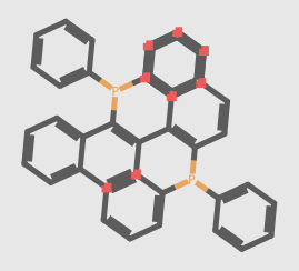 c1ccc(P(c2ccccc2)c2ccc3ccccc3c2-c2ccc3ccccc3c2P(c2ccccc2)c2ccccc2)cc1